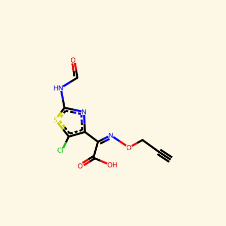 C#CCON=C(C(=O)O)c1nc(NC=O)sc1Cl